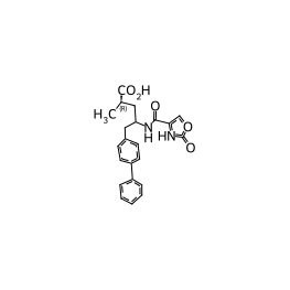 C[C@H](CC(Cc1ccc(-c2ccccc2)cc1)NC(=O)c1coc(=O)[nH]1)C(=O)O